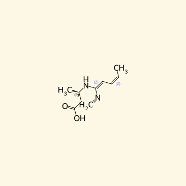 C=N/C(=C\C=C/C)N[C@H](C)CC(=O)O